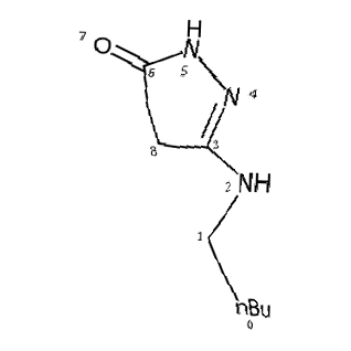 CCCCCNC1=NNC(=O)C1